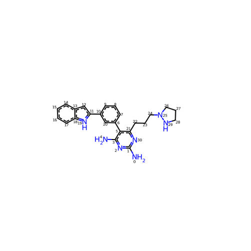 Nc1nc(N)c(-c2cccc(-c3cc4ccccc4[nH]3)c2)c(CCCN2CCCN2)n1